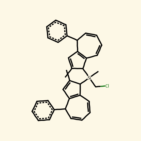 CC1=CC2=C(C=CC=CC2c2ccccc2)C1[Si](C)(CCl)C1C(C)=CC2=C1C=CC=CC2c1ccccc1